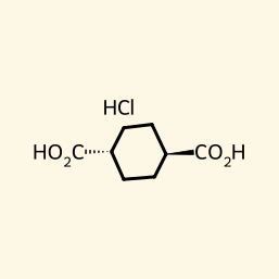 Cl.O=C(O)[C@H]1CC[C@H](C(=O)O)CC1